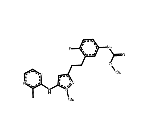 Cc1nccnc1Nc1cc(CCc2cc(NC(=O)OC(C)(C)C)ccc2F)nn1C(C)(C)C